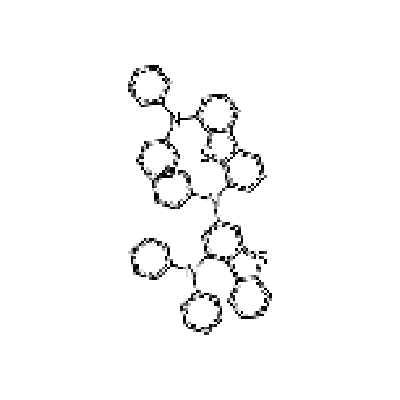 c1ccc(N(c2ccccc2)c2cccc3c2sc2c(N(c4ccccc4)c4cc(N(c5ccccc5)c5ccccc5)c5c(c4)sc4ccccc45)cccc23)cc1